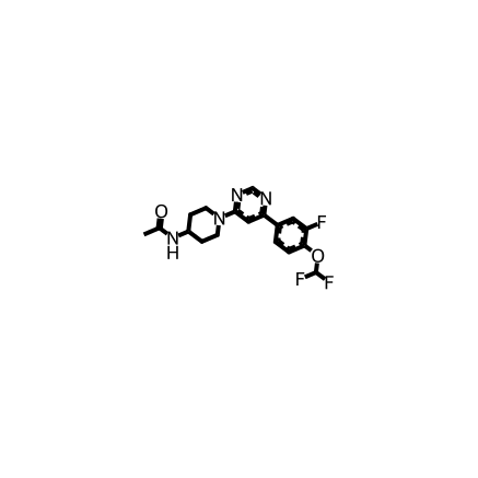 CC(=O)NC1CCN(c2cc(-c3ccc(OC(F)F)c(F)c3)ncn2)CC1